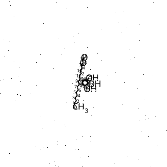 CCCCCCCCCCCCCCCCOC=O.Oc1cccc(O)c1O